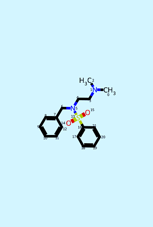 CN(C)CCN(Cc1ccccc1)S(=O)(=O)c1ccccc1